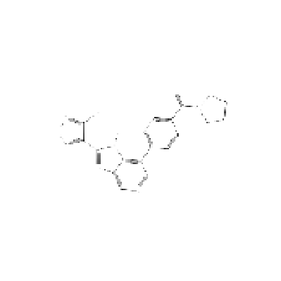 CCn1c(-c2nonc2N)nc2cncc(-c3ccc(C(=O)N4CCCC4)cc3)c21